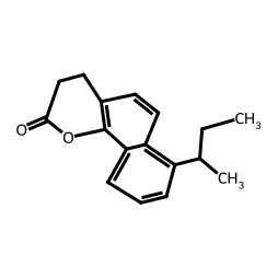 CCC(C)c1cccc2c3c(ccc12)CCC(=O)O3